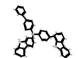 c1ccc(-c2ccc(N(c3ccc(-c4cccc5c4oc4ccccc45)cc3)c3ccc4c(c3)oc3ccccc34)cc2)cc1